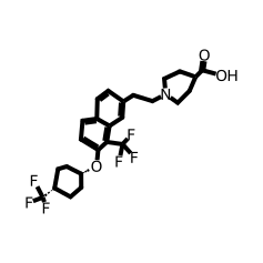 O=C(O)C1CCN(CCc2ccc3ccc(O[C@H]4CC[C@@H](C(F)(F)F)CC4)c(C(F)(F)F)c3c2)CC1